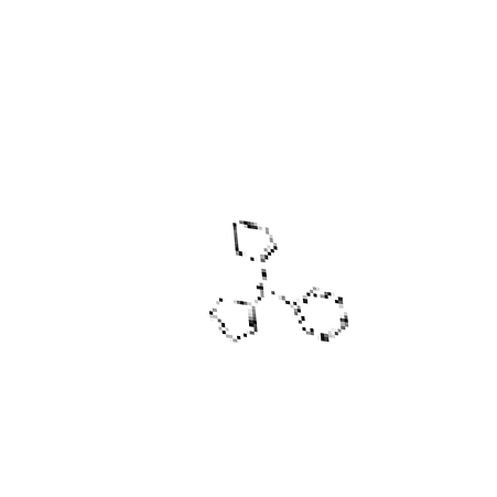 C1=CC[C]([Hf]([C]2=CC=CC2)[c]2ccccc2)=C1